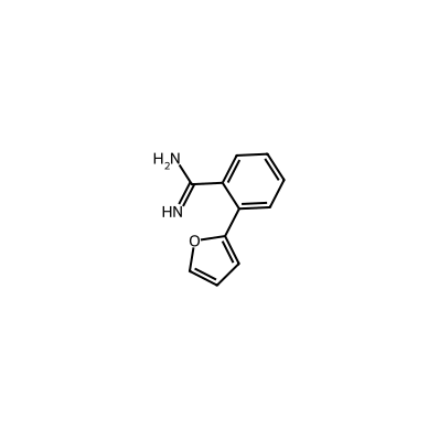 N=C(N)c1ccccc1-c1ccco1